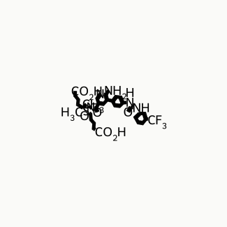 CC(C)(CCCC(=O)O)S(=O)(CCCCC(=O)O)=NC(=O)c1cnc(N)c(-c2ccc(NC(=O)Nc3cccc(C(F)(F)F)c3)cc2)c1